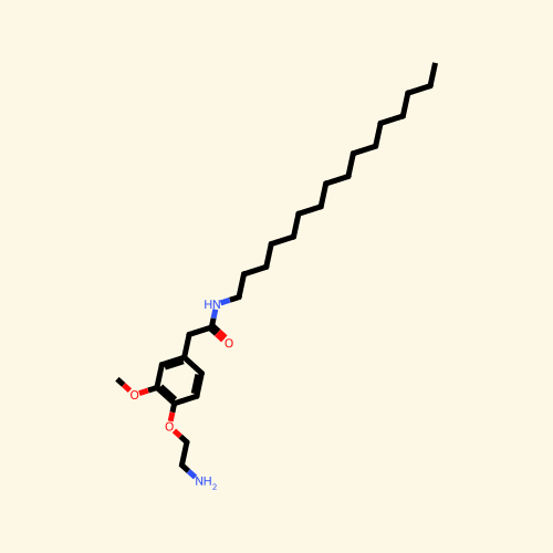 CCCCCCCCCCCCCCCCNC(=O)Cc1ccc(OCCN)c(OC)c1